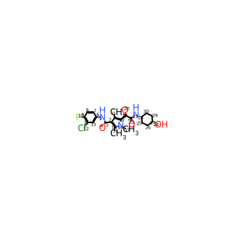 Cc1c(C(=O)Nc2ccc(F)c(Cl)c2)c(C)n(C)c1C(=O)C(=O)N[C@H]1CC[C@@H](O)CC1